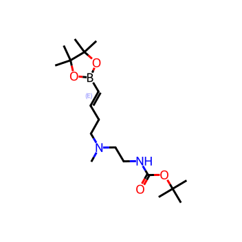 CN(CC/C=C/B1OC(C)(C)C(C)(C)O1)CCNC(=O)OC(C)(C)C